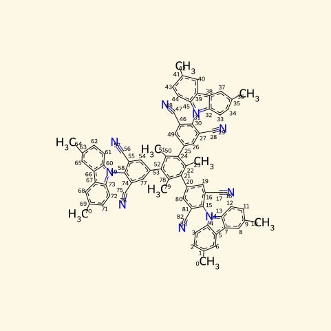 Cc1ccc2c(c1)c1cc(C)ccc1n2-c1c(C#N)cc(-c2c(C)c(-c3cc(C#N)c(-n4c5ccc(C)cc5c5cc(C)ccc54)c(C#N)c3)c(C)c(-c3cc(C#N)c(-n4c5ccc(C)cc5c5cc(C)ccc54)c(C#N)c3)c2C)cc1C#N